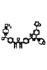 CN1CCN(C(=O)c2ccc(NC(=O)Nc3ccc(-c4nc(N5CCOCC5)c5ccc(-c6ccco6)cc5n4)cc3)cc2)CC1